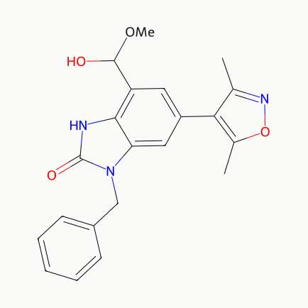 COC(O)c1cc(-c2c(C)noc2C)cc2c1[nH]c(=O)n2Cc1ccccc1